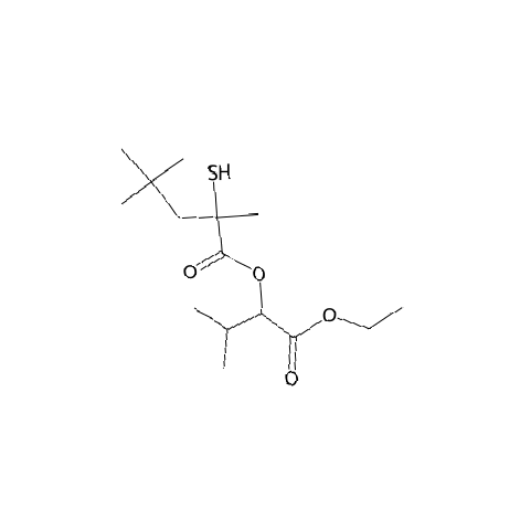 CCOC(=O)C(OC(=O)C(C)(S)CC(C)(C)C)C(C)C